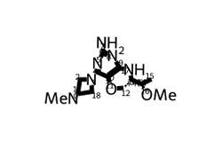 CNC1CN(c2nc(N)nc3c2OC[C@@H]([C@@H](C)OC)N3)C1